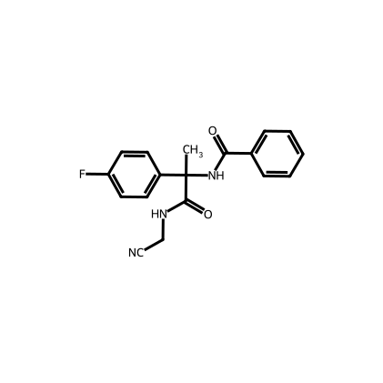 CC(NC(=O)c1ccccc1)(C(=O)NCC#N)c1ccc(F)cc1